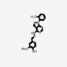 COc1cc(/C=N/Nc2ncnc3c2cnn3-c2ccccc2C)ccc1O